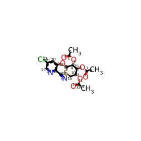 CC(=O)O[C@@H]1[C@@H](OC(C)=O)[C@H](OC(C)=O)CS[C@H]1Oc1cc(Cl)cnc1C#N